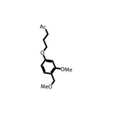 COCc1ccc(OCCCC(C)=O)cc1OC